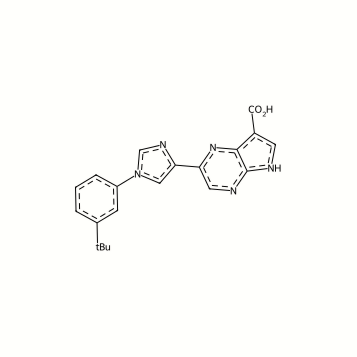 CC(C)(C)c1cccc(-n2cnc(-c3cnc4[nH]cc(C(=O)O)c4n3)c2)c1